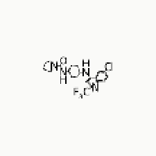 O=C(NC1CCC(Nc2cc(C(F)(F)F)nc3ccc(Cl)cc23)CC1)N1CCCC1